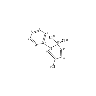 ClC1=CC(c2ccccc2)C(Cl)(Cl)C=C1